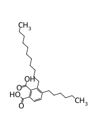 CCCCCCCCCCCc1c(CCCCCC)ccc(C(=O)O)c1C(=O)O